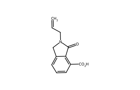 C=CCN1Cc2cccc(C(=O)O)c2C1=O